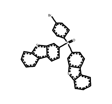 O=P(c1ccc(Br)cc1)(c1ccc2c(c1)sc1ccccc12)c1ccc2c(c1)sc1ccccc12